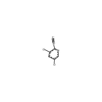 [C-]#[N+]c1ncc(Cl)cc1Cl